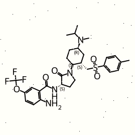 Cc1ccc(S(=O)(=O)C[C@H]2C[C@H](N(C)C(C)C)CC[C@@H]2N2CC[C@H](NC(=O)c3cc(OC(F)(F)F)ccc3N)C2=O)cc1